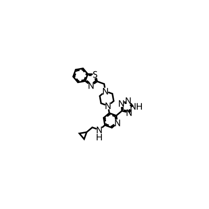 c1ccc2sc(CN3CCN(c4cc(NCC5CC5)cnc4-c4nn[nH]n4)CC3)nc2c1